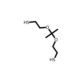 CC(C)(OCCS)OCCS